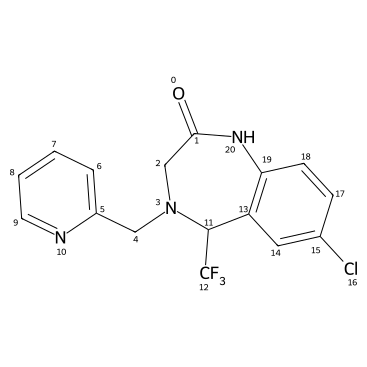 O=C1CN(Cc2ccccn2)C(C(F)(F)F)c2cc(Cl)ccc2N1